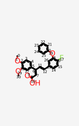 COc1ccc(C(=C\C(=O)O)/C=C/c2ccc(F)c(Oc3ccccc3)c2)cc1OC